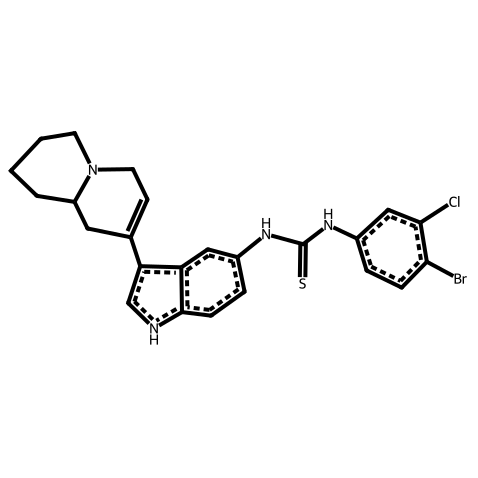 S=C(Nc1ccc(Br)c(Cl)c1)Nc1ccc2[nH]cc(C3=CCN4CCCCC4C3)c2c1